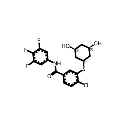 O=C(Nc1cc(F)c(F)c(F)c1)c1ccc(Cl)c(S[C@@H]2C[C@H](O)C[C@H](O)C2)c1